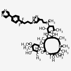 CO[C@]1(C)C[C@H](O[C@H]2[C@H](C)[C@@H](O[C@@H]3O[C@H](C)C[C@H](N(C)CCc4cn(CCCC(F)(F)c5ccc(-c6cncnc6)cc5)nn4)[C@H]3O)[C@](C)(O)C[C@@H](C)CN(C)[C@H](C)[C@@H](O)[C@](C)(O)[C@@H](I)OC(=O)[C@@H]2C)O[C@@H](C)[C@@H]1O